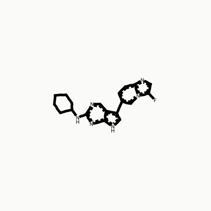 Fc1cnc2ccc(-c3c[nH]c4nc(NC5CCCCC5)ncc34)cn12